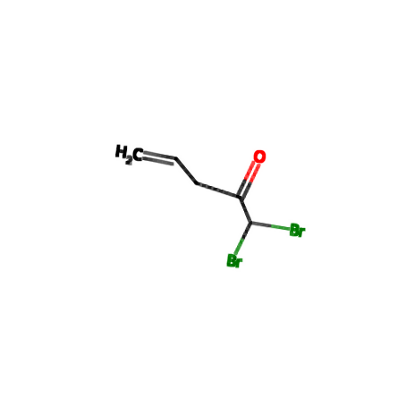 C=CCC(=O)C(Br)Br